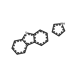 c1cc[nH]c1.c1ccc2c(c1)sc1ccccc12